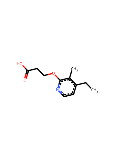 CCc1ccnc(OCCC(=O)O)c1C